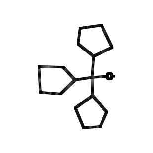 [O]C(C1CCCC1)(C1CCCC1)C1CCCC1